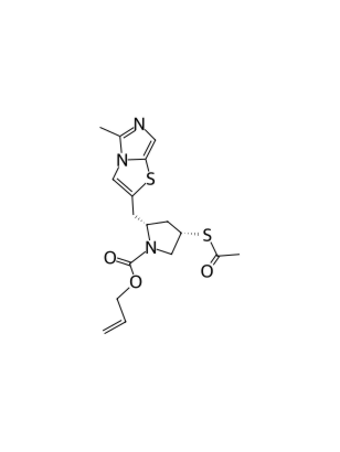 C=CCOC(=O)N1C[C@@H](SC(C)=O)C[C@H]1Cc1cn2c(C)ncc2s1